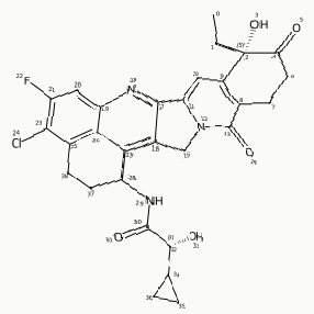 CC[C@@]1(O)C(=O)CCc2c1cc1n(c2=O)Cc2c-1nc1cc(F)c(Cl)c3c1c2C(NC(=O)[C@H](O)C1CC1)CC3